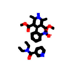 CCN(CC)C(=O)c1cccnc1.COC(=O)C1=C(C)NC(C)=C(C(=O)OC)C1c1ccccc1[N+](=O)[O-]